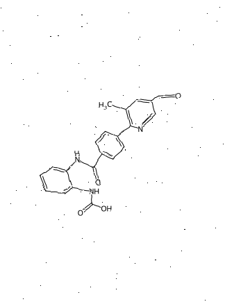 Cc1cc(C=O)cnc1-c1ccc(C(=O)Nc2ccccc2NC(=O)O)cc1